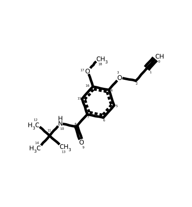 C#CCOc1ccc(C(=O)NC(C)(C)C)cc1OC